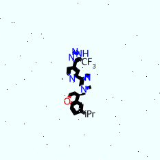 C=N/C(=C\N(C)C[C@@H]1CCOc2ccc(C(C)C)cc21)c1cc(-c2nn[nH]c2C(F)(F)F)ccn1